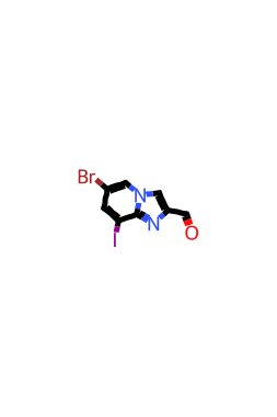 O=Cc1cn2cc(Br)cc(I)c2n1